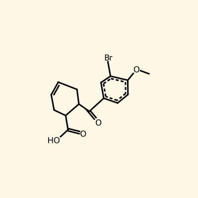 COc1ccc(C(=O)C2CC=CCC2C(=O)O)cc1Br